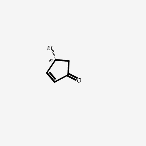 CC[C@H]1C=CC(=O)C1